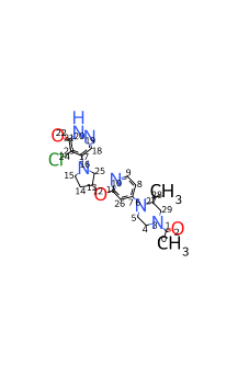 CC(=O)N1CCN(c2ccnc(O[C@@H]3CCN(c4cn[nH]c(=O)c4Cl)C3)c2)[C@@H](C)C1